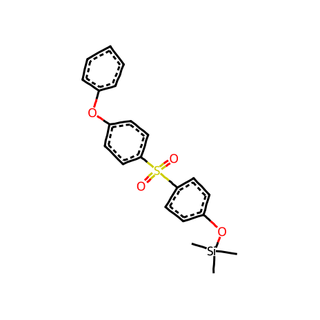 C[Si](C)(C)Oc1ccc(S(=O)(=O)c2ccc(Oc3ccccc3)cc2)cc1